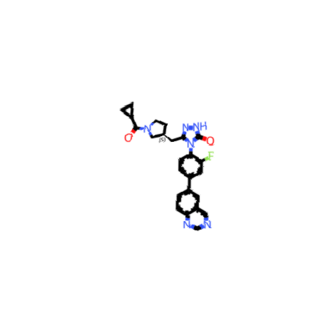 O=C(C1CC1)N1CC[C@@H](Cc2n[nH]c(=O)n2-c2ccc(-c3ccc4ncncc4c3)cc2F)C1